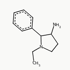 CCN1CCC(N)C1c1ccccc1